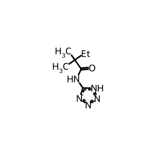 CCC(C)(C)C(=O)Nc1nnn[nH]1